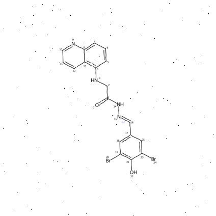 O=C(CNc1cccc2ncccc12)N/N=C/c1cc(Br)c(O)c(Br)c1